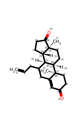 C=CCC1CC2=CC(=O)CC[C@]2(C)[C@@H]2CC[C@]3(C)C(=O)CC[C@H]3[C@H]12